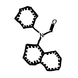 O=[C]N(c1ccccc1)c1cccc2ccccc12